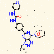 O=C(Nc1ccncc1)Nc1ccc(-c2nc(N3CC4CCC(C3)O4)c3nnn(CC(F)(F)F)c3n2)cc1